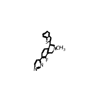 CN1Cc2c(ccc(-c3ccncn3)c2F)C(c2cc3ccccc3s2)C1